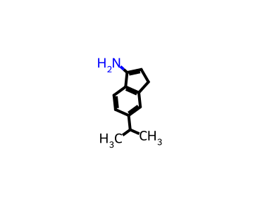 CC(C)c1ccc2c(c1)CC=C2N